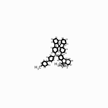 Cc1ccc(-c2ccc(N(c3ccc4c(c3)C3(c5ccccc5-c5ccccc53)c3ccccc3-4)c3ccc4c(c3)C(C)(C)C3(C)C=CCCC43)cc2)cc1